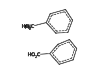 O=C(O)c1ccccc1.O=C(O)c1ccccc1.[Pd]